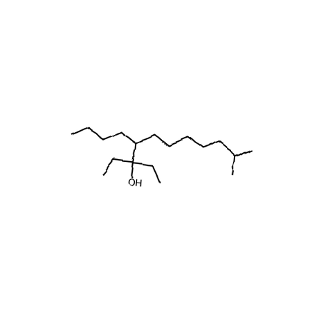 CCCCC(CCCCCC(C)C)C(O)(CC)CC